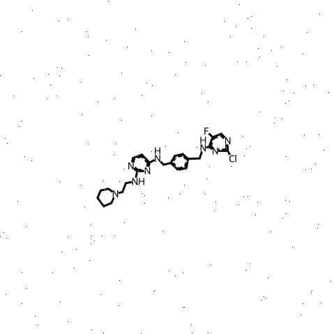 Fc1cnc(Cl)nc1NCc1ccc(CNc2ccnc(NCCN3CCCCC3)n2)cc1